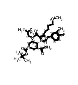 COCCCCc1c(C(=O)N(CC(C)C)[C@H]2C[C@@H](C(N)=O)CN(C(=O)OC(C)(C)C)C2)nnn1-c1ccc(F)c(C)c1